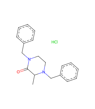 CC1C(=O)N(Cc2ccccc2)CCN1Cc1ccccc1.Cl